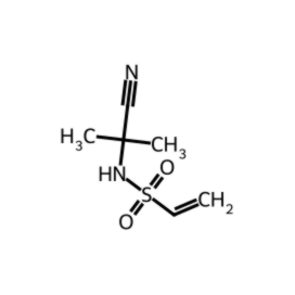 C=CS(=O)(=O)NC(C)(C)C#N